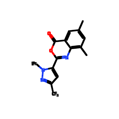 Cc1cc(C)c2nc(-c3cc(C(F)(F)F)nn3C(C)C)oc(=O)c2c1